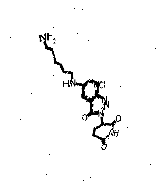 Cl.NCCCCCCNc1ccc2nnn(C3CCC(=O)NC3=O)c(=O)c2c1